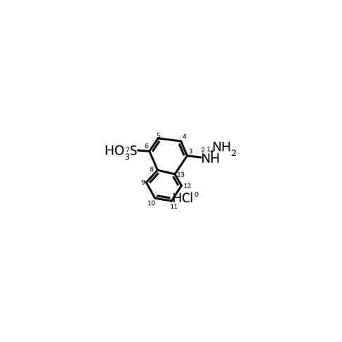 Cl.NNc1ccc(S(=O)(=O)O)c2ccccc12